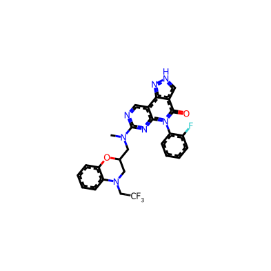 CN(CC1CN(CC(F)(F)F)c2ccccc2O1)c1ncc2c3n[nH]cc3c(=O)n(-c3ccccc3F)c2n1